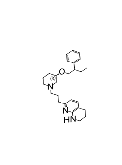 CCC(CO[C@@H]1CCCN(CCCc2ccc3c(n2)NCCC3)C1)c1ccccc1